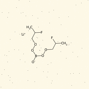 CC(F)COOB([O-])OOCC(C)F.[Li+]